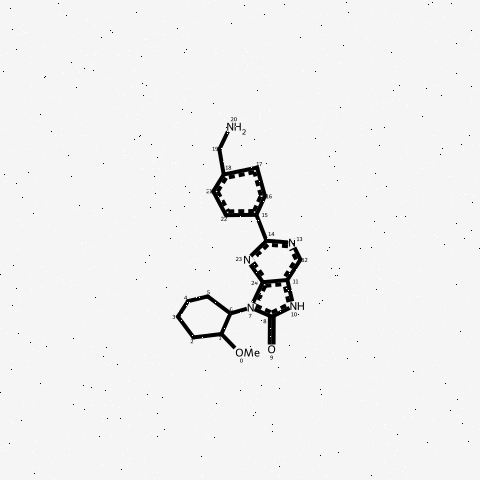 COC1CCCCC1n1c(=O)[nH]c2cnc(-c3ccc(CN)cc3)nc21